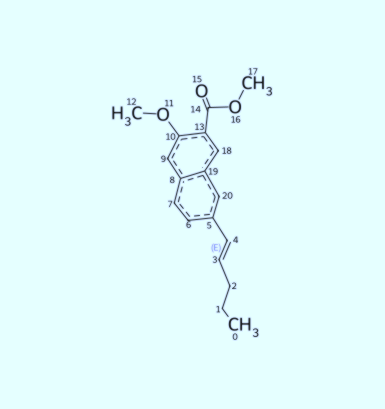 CCC/C=C/c1ccc2cc(OC)c(C(=O)OC)cc2c1